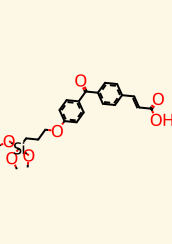 CO[Si](CCCOc1ccc(C(=O)c2ccc(C=CC(=O)O)cc2)cc1)(OC)OC